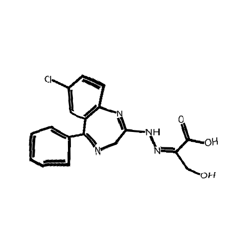 O=C(O)/C(CO)=N\NC1=Nc2ccc(Cl)cc2C(c2ccccc2)=NC1